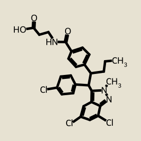 CCCC(c1ccc(C(=O)NCCC(=O)O)cc1)C(c1ccc(Cl)cc1)c1c2cc(Cl)cc(Cl)c2nn1C